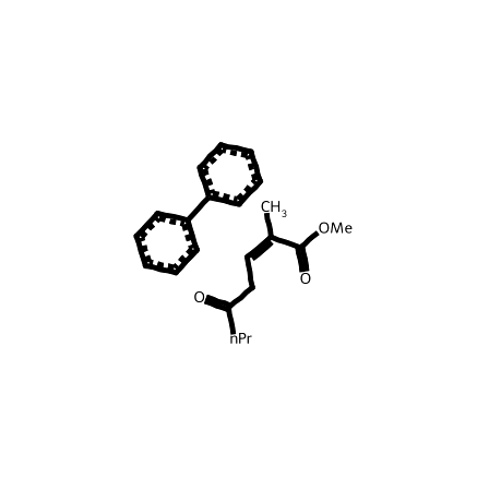 CCCC(=O)CC=C(C)C(=O)OC.c1ccc(-c2ccccc2)cc1